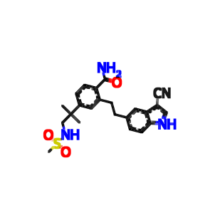 CC(C)(CNS(C)(=O)=O)c1ccc(C(N)=O)c(CCc2ccc3[nH]cc(C#N)c3c2)c1